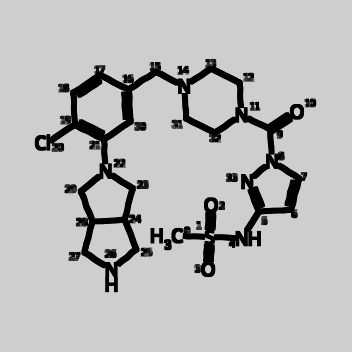 CS(=O)(=O)Nc1ccn(C(=O)N2CCN(Cc3ccc(Cl)c(N4CC5CNCC5C4)c3)CC2)n1